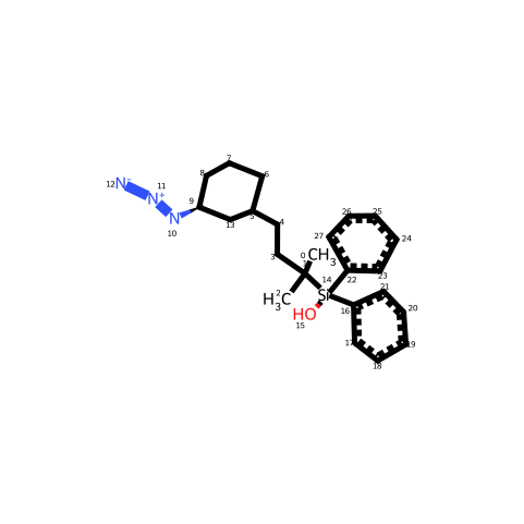 CC(C)(CCC1CCC[C@H](N=[N+]=[N-])C1)[Si](O)(c1ccccc1)c1ccccc1